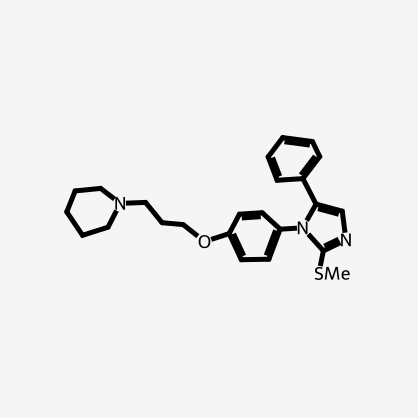 CSc1ncc(-c2ccccc2)n1-c1ccc(OCCCN2CCCCC2)cc1